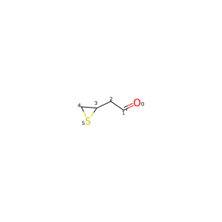 O=[C]CC1CS1